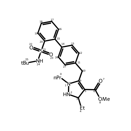 CCCN1NC(CC)C(C(=O)OC)=C1Cc1ccc(-c2ccccc2S(=O)(=O)NC(C)(C)C)cc1